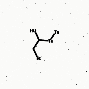 CCC[CH](O)[Ta][Ta]